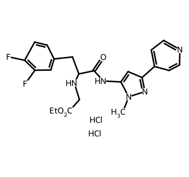 CCOC(=O)CNC(Cc1ccc(F)c(F)c1)C(=O)Nc1cc(-c2ccncc2)nn1C.Cl.Cl